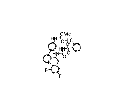 COC(=O)Nc1ccc(-c2cccnc2[C@H](Cc2cc(F)cc(F)c2)NC(=O)NS(=O)(=O)c2ccccc2C)cc1